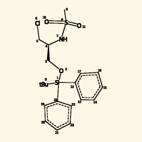 CC(C)(C)[Si](OC[C@@H](CCl)NS(C)(=O)=O)(c1ccccc1)c1ccccc1